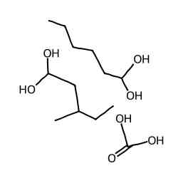 CCC(C)CC(O)O.CCCCCC(O)O.O=C(O)O